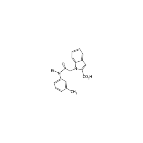 CCN(C(=O)Cn1c(C(=O)O)cc2ccccc21)c1cccc(C)c1